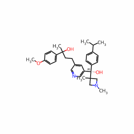 COc1ccc(C(C)(O)CCc2cncc([C@@](O)(c3ccc(C(C)C)cc3)C3(C)CN(C)C3)c2)cc1